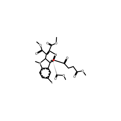 COC(=O)CCC(=O)N1C2=NC(C(=O)OC)=C(C(=O)OC)C3N(C)c4ccc(I)cc4[C@]23C[C@H]1C(=O)OC